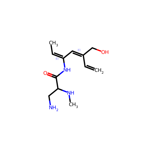 C=C/C(=C\C(=C/C)NC(=O)C(CN)NC)CO